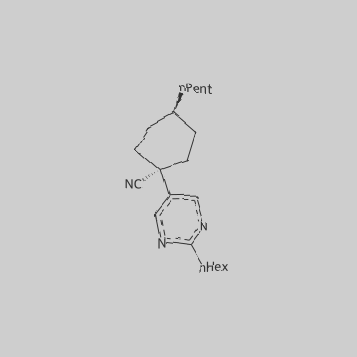 CCCCCCc1ncc([C@]2(C#N)CC[C@H](CCCCC)CC2)cn1